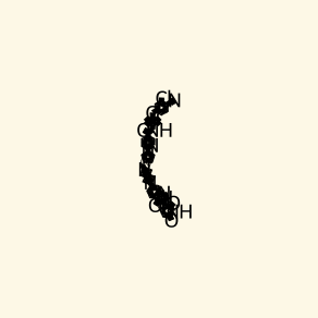 CC1(C)C(NC(=O)c2ccc(N3CC[C@H](CN4CC5(C4)CN(c4ccc6c(=O)n(C7CCC(=O)NC7=O)nnc6c4)C5)C3)nc2)C(C)(C)C1Oc1ccc(C#N)c(Cl)c1